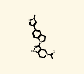 CC(=O)N1CCc2[nH]nc(N3CCc4cc(-c5cnn(C)c5)ccc43)c2C1